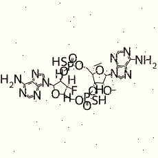 CC[C@@]12COP(=O)(S)O[C@@H]3[C@@H](F)[C@@H](COP(=O)(S)O[C@H]1[C@@H](OC)[C@H](n1cnc4c(N)ncnc41)O2)O[C@H]3n1cnc2c(N)ncnc21